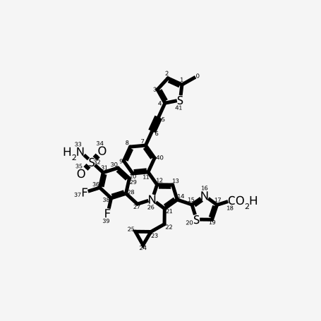 Cc1ccc(C#Cc2cccc(-c3cc(-c4nc(C(=O)O)cs4)c(CC4CC4)n3Cc3ccc(S(N)(=O)=O)c(F)c3F)c2)s1